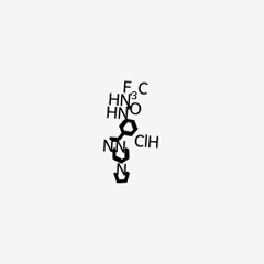 Cl.O=C(NCC(F)(F)F)Nc1cccc(-c2cnc3cc(N4CCCC4)ccn23)c1